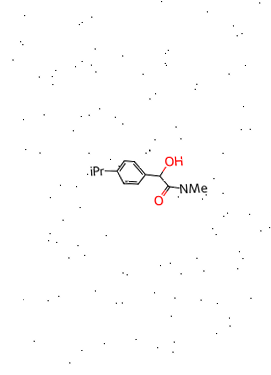 CNC(=O)C(O)c1ccc(C(C)C)cc1